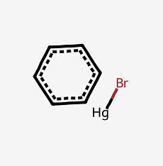 [Br][Hg].c1ccccc1